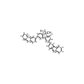 CC1(C)c2ccc(-c3ccc4sc5ccccc5c4c3)cc2-c2cc(-c3ccc4sc5ccccc5c4c3)ccc21